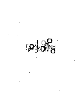 O=C(Nc1ccc(F)c(F)c1)N1CCc2nc(NC3CCCCC3)n(-c3ccccc3)c(=O)c2C1